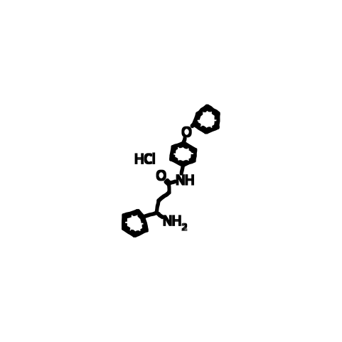 Cl.NC(CCC(=O)Nc1ccc(Oc2ccccc2)cc1)c1ccccc1